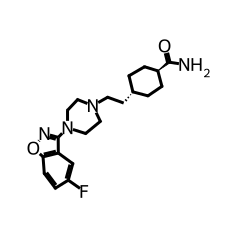 NC(=O)[C@H]1CC[C@H](CCN2CCN(c3noc4ccc(F)cc34)CC2)CC1